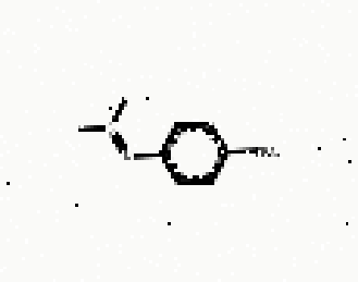 CS(C)=Nc1ccc([N+](=O)[O-])cc1